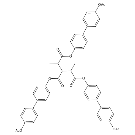 CC(=O)Oc1ccc(-c2ccc(OC(=O)C(C)C(C(=O)Oc3ccc(-c4ccc(OC(C)=O)cc4)cc3)C(C)C(=O)Oc3ccc(-c4ccc(OC(C)=O)cc4)cc3)cc2)cc1